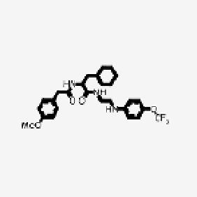 COc1ccc(CC(=O)NC(CC2CCCCC2)C(=O)NCCNc2ccc(OC(F)(F)F)cc2)cc1